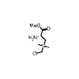 COC(=O)[C@@H](N)C[Si](C)(C)CCl